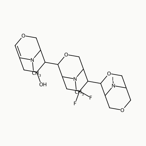 CN1C2=COCC1C(C1OCC3C(C4OCC5COCC4N5I)C(F)(F)CC1N3C)C(O)C2